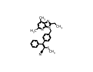 CCc1nc2c(C)cc(C)nc2n1Cc1ccc(/C(=C(/C#N)SC)c2ccccc2)cc1